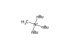 CCCC[N+](C)(CCCC)CCCC